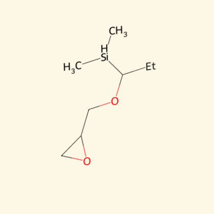 CCC(OCC1CO1)[SiH](C)C